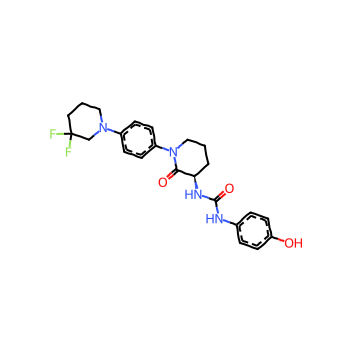 O=C(Nc1ccc(O)cc1)N[C@@H]1CCCN(c2ccc(N3CCCC(F)(F)C3)cc2)C1=O